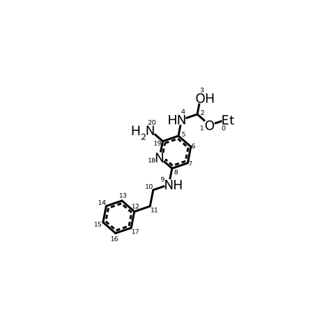 CCOC(O)Nc1ccc(NCCc2ccccc2)nc1N